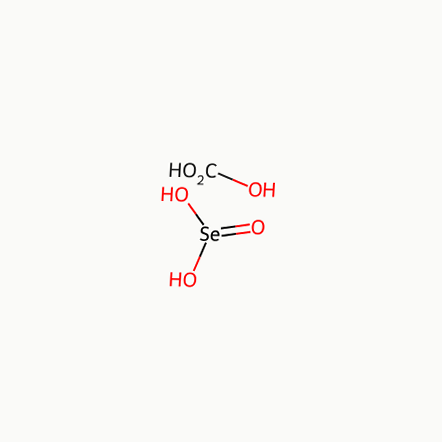 O=C(O)O.O=[Se](O)O